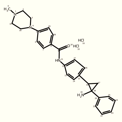 CN1CCN(c2ccc(C(=O)Nc3ccc(C4CC4(N)c4ccccc4)cc3)cc2)CC1.Cl.Cl